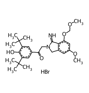 Br.COCOc1cc(OC)cc2c1C(=N)N(CC(=O)c1cc(C(C)(C)C)c(O)c(C(C)(C)C)c1)C2